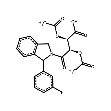 CC(=O)O[C@@H](C(=O)O)[C@@H](OC(C)=O)C(=O)N1Cc2ccccc2C1c1cccc(F)c1